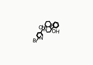 O=C(c1ccc(Br)nc1)N1CC[C@](O)(c2ccccc2)[C@H]2CCCC[C@H]21